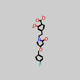 COC(=O)c1ccc(CCn2ccc(OCc3ccc(F)cc3)cc2=O)cc1OC